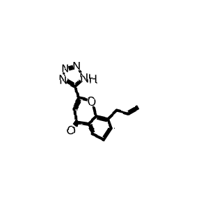 C=CCc1[c]ccc2c(=O)cc(-c3nnn[nH]3)oc12